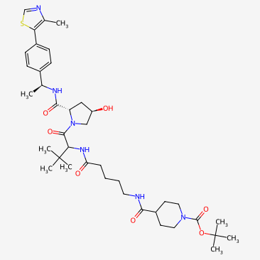 Cc1ncsc1-c1ccc([C@H](C)NC(=O)[C@@H]2C[C@@H](O)CN2C(=O)C(NC(=O)CCCCNC(=O)C2CCN(C(=O)OC(C)(C)C)CC2)C(C)(C)C)cc1